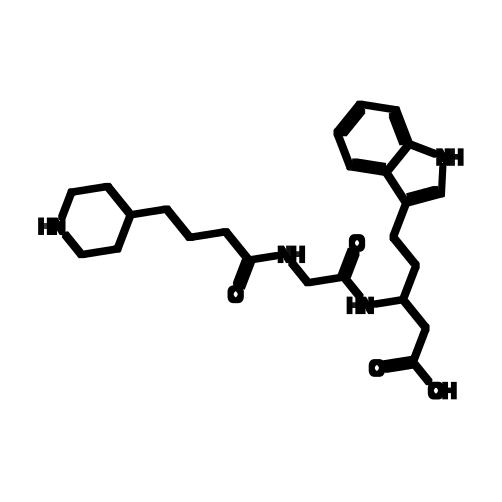 O=C(O)CC(CCc1c[nH]c2ccccc12)NC(=O)CNC(=O)CCCC1CCNCC1